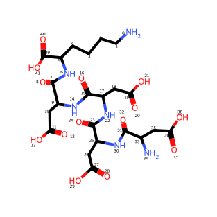 NCCCCC(NC(=O)C(CC(=O)O)NC(=O)C(CC(=O)O)NC(=O)C(CC(=O)O)NC(=O)C(N)CC(=O)O)C(=O)O